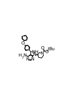 CC(C)(C)OC(=O)N1CCC[C@@H](N2NC(c3ccc(Oc4ccccc4)cc3)c3c(N)ncnc32)C1